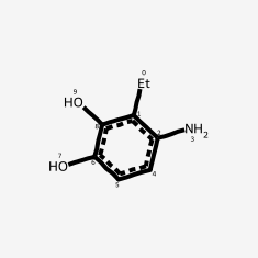 CCc1c(N)ccc(O)c1O